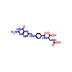 Nc1nc2ncc(CNC3=CCC(C(=O)NC(CNC(=O)O)C(=O)O)C=C3)nc2c(=O)[nH]1